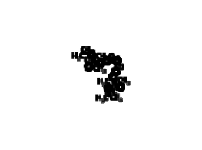 Cc1ccc(C(C)C)cc1N(c1ccc2cc3c(cc2c1)oc1ccc2oc4cc5cc(N(c6cc(C(C)C)ccc6C)c6c(C)cccc6C)ccc5cc4c2c13)c1c(C)cccc1C